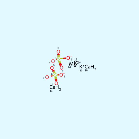 O=S(=O)([O-])[O-].O=S(=O)([O-])[O-].[CaH2].[CaH2].[K+].[K+].[Mg+2]